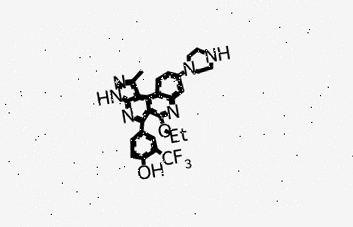 CCOc1nc2cc(N3CCNCC3)ccc2c2c1c(-c1ccc(O)c(C(F)(F)F)c1)nc1[nH]nc(C)c12